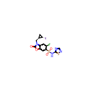 O=c1oc2cc(S(=O)(=O)Nc3ncns3)c(F)cc2n1C[C@H]1C[C@@H]1I